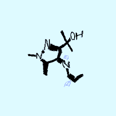 C=C1/C(=N\C=C/C)C(C(C)(C)O)=NN1C